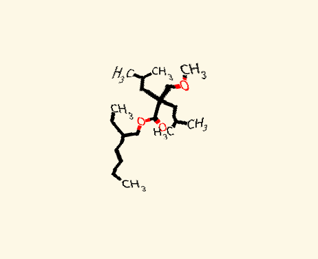 CCCCC(CC)COC(=O)C(COC)(CC(C)C)CC(C)C